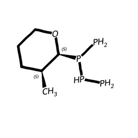 C[C@H]1CCCO[C@H]1P(P)PP